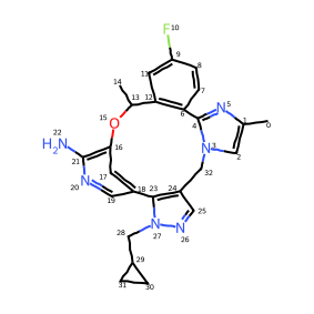 Cc1cn2c(n1)-c1ccc(F)cc1C(C)Oc1cc(cnc1N)-c1c(cnn1CC1CC1)C2